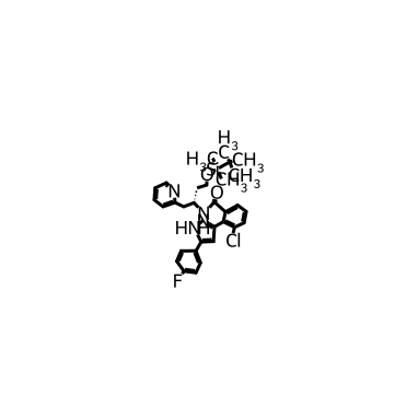 CC(C)(C)[Si](C)(C)OCC[C@@H](Cc1ccccn1)NC(=O)c1cccc(Cl)c1-c1cc(-c2ccc(F)cc2)[nH]n1